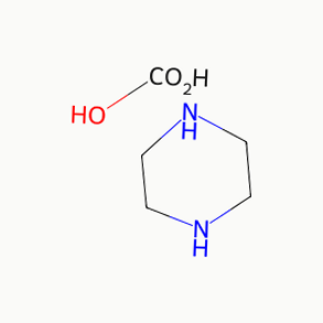 C1CNCCN1.O=C(O)O